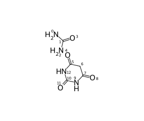 NC(N)=O.O=C1CC(=O)NC(=O)N1